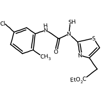 CCOC(=O)Cc1csc(N(S)C(=O)Nc2cc(Cl)ccc2C)n1